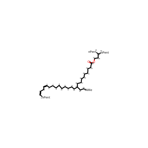 CCCCC/C=C\C/C=C\CCCCCCCCCC(CCCCCCCCC(=O)OCCC(CCCCC)CCCCC)CCNC